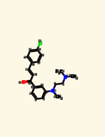 CN(C)CCN(C)c1cccc(C(=O)C=Cc2ccc(Cl)cc2)c1